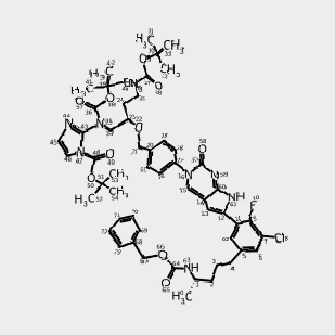 C[C@@H](CCCc1cc(Cl)c(F)c(-c2cc3cn(-c4ccc(CO[C@H](CCNC(=O)OC(C)(C)C)CN(C(=O)OC(C)(C)C)c5nccn5C(=O)OC(C)(C)C)cc4)c(=O)nc3[nH]2)c1)NC(=O)OCc1ccccc1